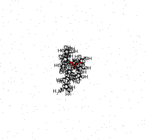 CC(=O)NC1[C@H](O[C@H]2C(O)[C@@H](O)C(CO)O[C@H]2O[C@@H]2C(O)[C@H](O[C@@H]3C(CO)O[C@@H](O[C@@H]4C(CO)O[C@@H](OCN)C(NC(C)=O)[C@@H]4O)C(NC(C)=O)[C@@H]3O)OC(CO[C@H]3OC(CO)[C@@H](O)[C@H](O)C3O[C@@H]3OC(CO)[C@@H](O[C@@H]4OC(CO)[C@H](O)[C@H](O)C4O)[C@H](O[C@@H]4OC(C)[C@@H](O)[C@H](O)C4O)C3NC(C)=O)[C@H]2O)OC(CO)[C@@H](O[C@@H]2OC(CO)[C@H](O)[C@H](O)C2O)[C@@H]1O